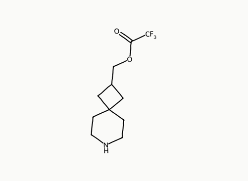 O=C(OCC1CC2(CCNCC2)C1)C(F)(F)F